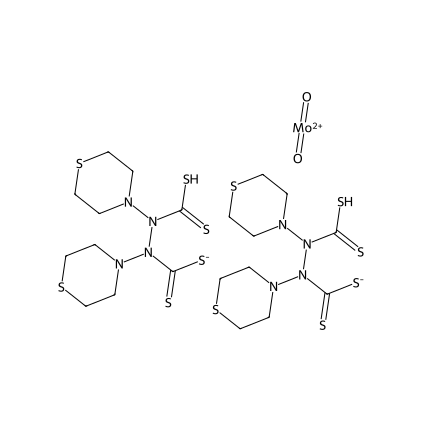 S=C([S-])N(N1CCSCC1)N(C(=S)S)N1CCSCC1.S=C([S-])N(N1CCSCC1)N(C(=S)S)N1CCSCC1.[O]=[Mo+2]=[O]